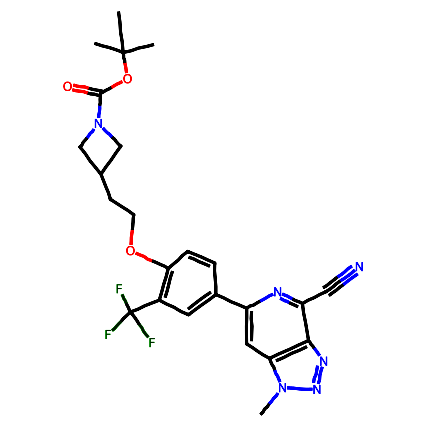 Cn1nnc2c(C#N)nc(-c3ccc(OCCC4CN(C(=O)OC(C)(C)C)C4)c(C(F)(F)F)c3)cc21